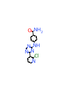 NC(=O)c1ccc(Nc2ncnc(-c3cccnc3Cl)n2)cc1